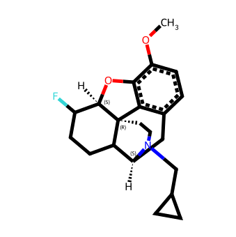 COc1ccc2c3c1O[C@@H]1C(F)CCC4[C@H](C2)N(CC2CC2)CC[C@]341